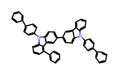 c1ccc(-c2ccc(-n3c4ccccc4c4cc(-c5ccc6c(c5)c5c(-c7ccccc7)cccc5n6-c5ccc(-c6ccccc6)cc5)ccc43)cc2)cc1